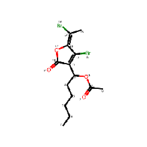 CCCCCC(OC(C)=O)C1=C(Br)/C(=C(\C)Br)OC1=O